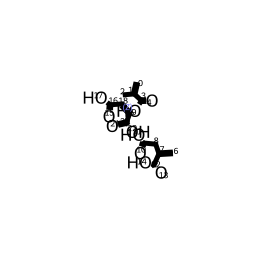 C=C(C)C(=O)O.C=C(CC(=O)O)C(=O)O.O=C(O)/C=C\C(=O)O